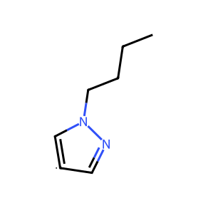 CCCCn1c[c]cn1